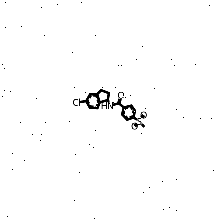 CS(=O)(=O)c1ccc(C(=O)NC2CCc3cc(Cl)ccc32)cc1